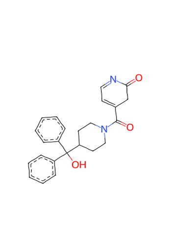 O=C1CC(C(=O)N2CCC(C(O)(c3ccccc3)c3ccccc3)CC2)=CC=N1